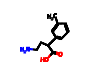 Cc1cccc(C(CCN)C(=O)O)c1